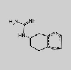 N=C(N)N[C@H]1CCc2ccccc2C1